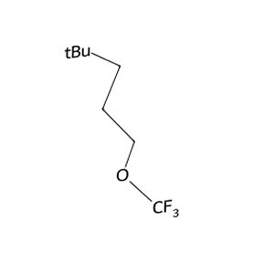 CC(C)(C)CCCOC(F)(F)F